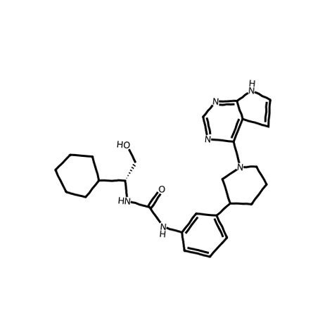 O=C(Nc1cccc(C2CCCN(c3ncnc4[nH]ccc34)C2)c1)N[C@@H](CO)C1CCCCC1